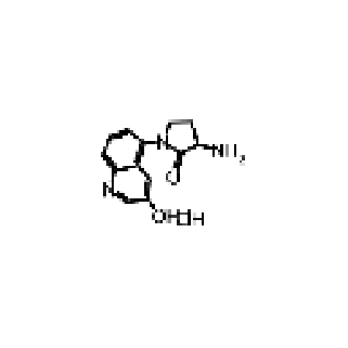 Cl.NC1CCN(c2cccc3ncc(O)cc23)C1=O